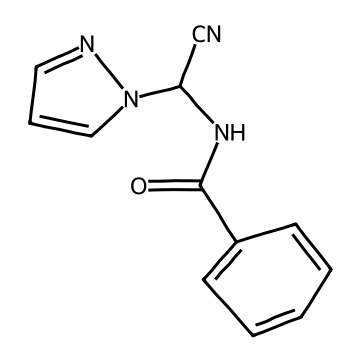 N#CC(NC(=O)c1ccccc1)n1cccn1